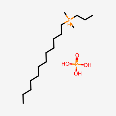 CCCCCCCCCCCC[PH](C)(C)CCC.O=P(O)(O)O